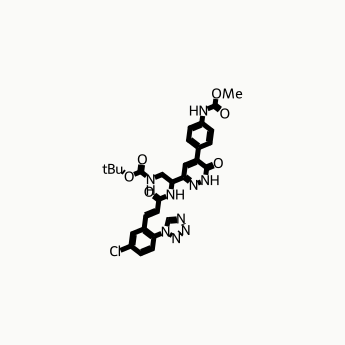 COC(=O)Nc1ccc(-c2cc(C(CNC(=O)OC(C)(C)C)NC(=O)/C=C/c3cc(Cl)ccc3-n3cnnn3)n[nH]c2=O)cc1